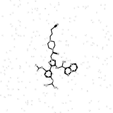 CC(C)Sc1ccc(OC(F)F)c(-c2nn(CC(=O)N3CCN(CCCC#N)CC3)cc2NC(O)c2cnn3cccnc23)c1